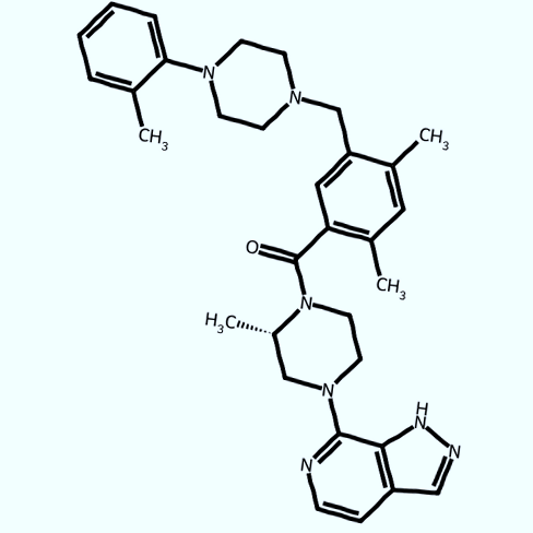 Cc1cc(C)c(C(=O)N2CCN(c3nccc4cn[nH]c34)C[C@@H]2C)cc1CN1CCN(c2ccccc2C)CC1